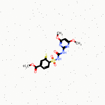 COC(=O)C1=CC(=S)C(S(=O)(=O)NC(=O)Nc2nc(OC)cc(OC)n2)C=C1